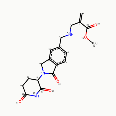 C=C(CNCc1ccc2c(c1)CN(C1CCC(=O)NC1=O)C2=O)C(=O)OC(C)(C)C